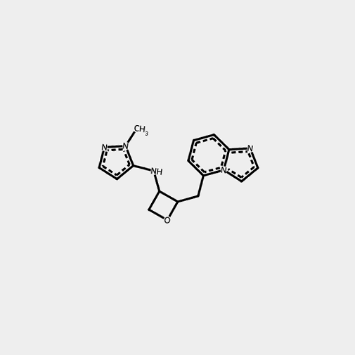 Cn1nccc1NC1COC1Cc1cccc2nccn12